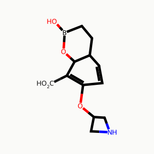 O=C(O)C1=C(OC2CNC2)C=CC2CCB(O)OC12